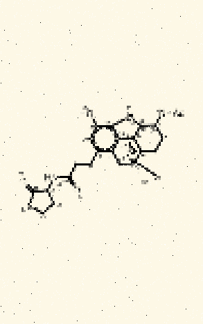 CC(=O)N[C@H]1CCC2[C@H]3Cc4c(CCC(=O)NC5CCSC5=O)cc(O)c5c4[C@@]2(CCN3C)[C@H]1O5